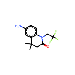 CC1(C)CC(=O)N(CC(F)(F)F)c2ccc(N)cc21